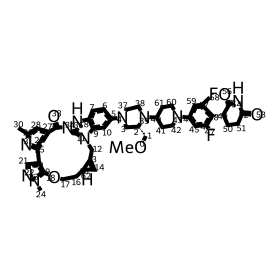 COC[C@@H]1CN(c2ccc3c(c2)N2CC4=C[C@@H]4CCOc4c(cnn4C)-c4cc(cc(C)n4)C(=O)/N=C/2N3)CCN1C1CCN(c2cc(F)c([C@H]3CCC(=O)NC3=O)c(F)c2)CC1